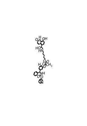 CC(C)(Oc1cccc(C(NC(=O)OC2CN3CCC2CC3)c2ccccc2)c1)C(=O)OCCCCCNCC(O)c1ccc(O)c2[nH]c(=O)ccc12